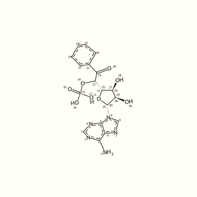 Nc1ncnc2c1ncn2[C@@H]1O[C@H](C(OP(=O)(O)O)C(=O)c2ccccc2)[C@@H](O)[C@H]1O